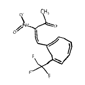 CC(=O)/C(=C\c1ccccc1C(F)(F)F)[N+](=O)[O-]